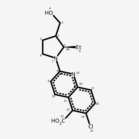 CC[C@@H]1C(CO)CCN1c1ccc2c(C(=O)O)c(Cl)ccc2n1